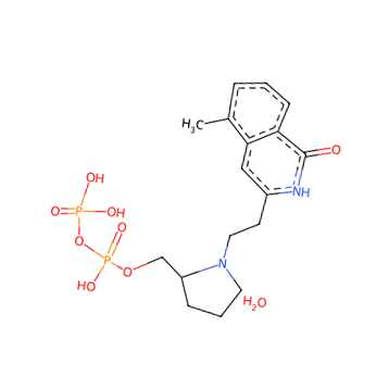 Cc1cccc2c(=O)[nH]c(CCN3CCCC3COP(=O)(O)OP(=O)(O)O)cc12.O